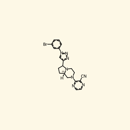 N#Cc1nccnc1N1CCN2C(c3cn(-c4cccc(Br)c4)nn3)CC[C@H]2C1